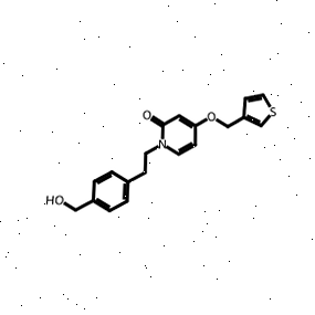 O=c1cc(OCc2ccsc2)ccn1CCc1ccc(CO)cc1